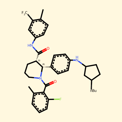 CCCCC1CCC(Nc2ccc([C@H]3[C@@H](C(=O)Nc4ccc(C)c(C(F)(F)F)c4)CCCN3C(=O)c3c(C)cccc3F)cc2)C1